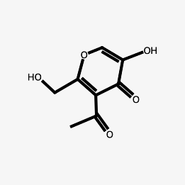 CC(=O)c1c(CO)occ(O)c1=O